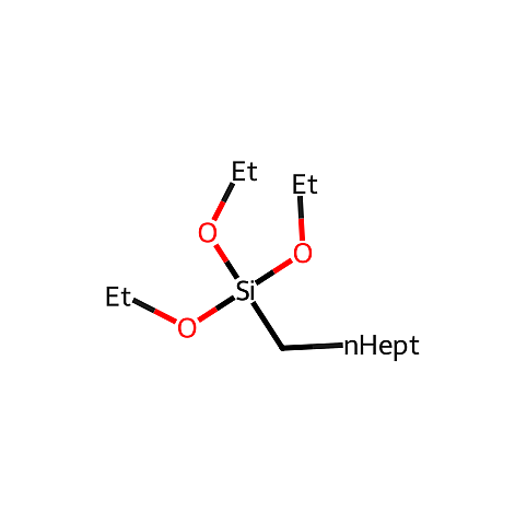 CCC[CH]CCCC[Si](OCC)(OCC)OCC